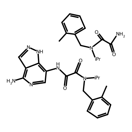 Cc1ccccc1CN(C(=O)C(=O)Nc1cnc(N)c2cn[nH]c12)C(C)C.Cc1ccccc1CN(C(=O)C(N)=O)C(C)C